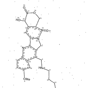 COc1ccc2nc3c(c(CNCCCN)c2c1)Cn1c-3cc2c(c1=O)COC(=O)C2O